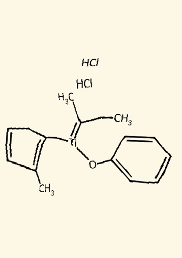 CC1=[C]([Ti]([O]c2ccccc2)=[C](C)C)CC=C1.Cl.Cl